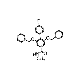 CNC(=O)c1cc(OCc2ccccc2)c(-c2ccc(F)cc2)c(OCc2ccccc2)c1